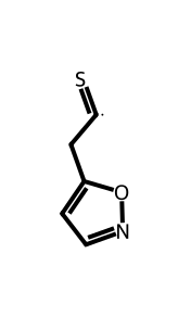 S=[C]Cc1ccno1